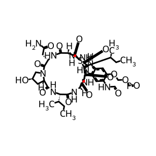 CCC(C)[C@@H]1NC(=O)[C@@H]2C[C@@H](O)CN2C(=O)[C@H](CC(N)=O)NC(=O)[C@@H]2CSc3[nH]c4cc(OCOP=O)c(NC=O)cc4c3C[C@H](NC1=O)C(=O)NCC(=O)N[C@H]([C@@H](C)CC)C(=O)NCC(=O)N2